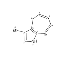 CCc1c[nH]c2c1CC=CC=C2